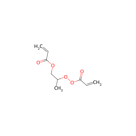 C=CC(=O)OCC(C)OOC(=O)C=C